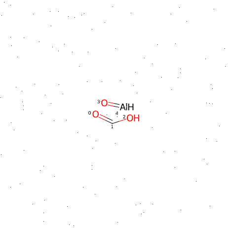 O=CO.[O]=[AlH]